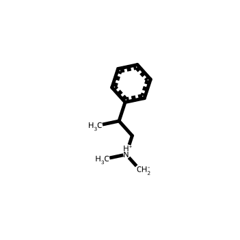 [CH2-][NH+](C)CC(C)c1ccccc1